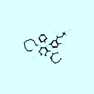 C=C/C=C1\C2=C(C=C)N(C3CCCCCCC3)c3cc(CC)c(C(C)CC(C)(C)CC)cc3B2c2ccccc2N1C1CCCCCCCC1